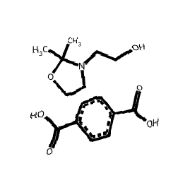 CC1(C)OCCN1CCO.O=C(O)c1ccc(C(=O)O)cc1